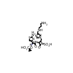 NCCCNCc1nnn(CC2[C@H](NC(=O)/C(=N\OC3(C(=O)O)CC3)c3csc(N)n3)C(=O)N2S(=O)(=O)O)n1